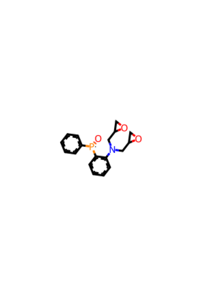 O=[P](c1ccccc1)c1ccccc1N(CC1CO1)CC1CO1